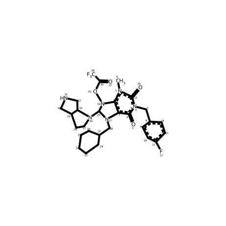 Cn1c2c(c(=O)n(Cc3ccc(F)cc3)c1=O)N(CC1CCCCC1)C(N1CCC3CNCC31)N2OC(=O)C(F)(F)F